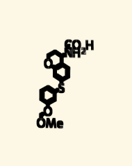 COCOc1cccc(Sc2ccc3c(c2)OCCC3NC(=O)O)c1